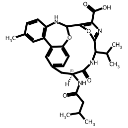 Cc1ccc2c(c1)-c1cc3ccc1OC(N2)c1oc(nc1C(=O)O)C(C(C)C)NC(=O)[C@@H](NC(=O)CC(C)C)C3